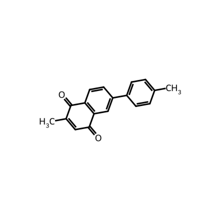 CC1=CC(=O)c2cc(-c3ccc(C)cc3)ccc2C1=O